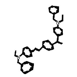 CCN(Cc1ccccc1)c1ccc(CCc2ccc(C(C)c3ccc(N(CC)Cc4ccccc4)cc3)cc2)cc1